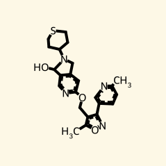 Cc1ccc(-c2noc(C)c2COc2cc3c(cn2)C(O)N(C2CCSCC2)C3)cn1